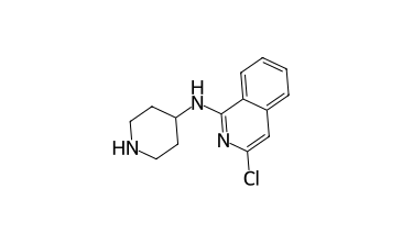 Clc1cc2ccccc2c(NC2CCNCC2)n1